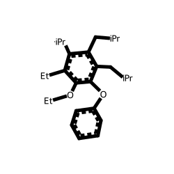 CCOc1c(CC)c([C](C)C)c(CC(C)C)c(CC(C)C)c1Oc1ccccc1